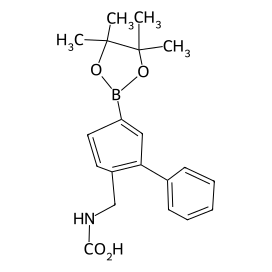 CC1(C)OB(c2ccc(CNC(=O)O)c(-c3ccccc3)c2)OC1(C)C